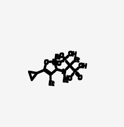 CCC1=C(C2CC2)ON(CC)C1N(CC)C(CC)(P(=O)(O)O)P(=O)(O)O